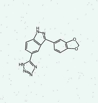 c1cc2[nH]nc(-c3ccc4c(c3)OCO4)c2cc1-c1nnn[nH]1